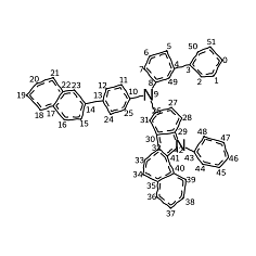 c1ccc(-c2cccc(N(c3ccc(-c4ccc5ccccc5c4)cc3)c3ccc4c(c3)c3ccc5ccccc5c3n4-c3ccccc3)c2)cc1